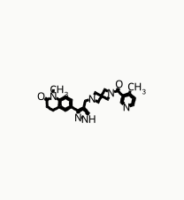 Cc1ccncc1C(=O)N1CC2(CN(Cc3c[nH]nc3-c3ccc4c(c3)CCC(=O)N4C)C2)C1